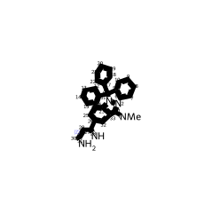 CNc1nn(C(c2ccccc2)(c2ccccc2)c2ccccc2)c2ccc(C(=N)/C=C\N)cc12